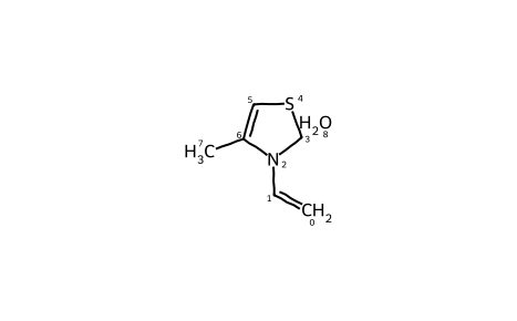 C=CN1CSC=C1C.O